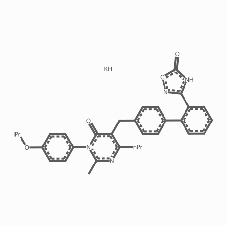 CCCc1nc(C)n(-c2ccc(OC(C)C)cc2)c(=O)c1Cc1ccc(-c2ccccc2-c2noc(=O)[nH]2)cc1.[KH]